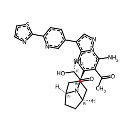 CC(=O)c1c([C@H]2C[C@H]3CC[C@@H](C2)N3C(=O)[C@@H](C)O)nc2c(-c3ccc(-c4nccs4)nc3)cnn2c1N